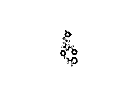 Cc1cccc(NC(=O)NCC(=O)N(CC(=O)N(C)c2ccccc2)c2cccc(OCC(=O)C3CCCCCN3)c2)c1